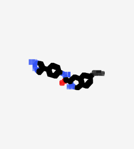 COc1ccc2c(c1)CC(C(=O)Nc1ccc(-c3cn[nH]c3)cc1)NC2